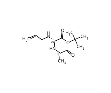 C=CCN[C@@H](N[C@@H](C)C=O)C(=O)OC(C)(C)C